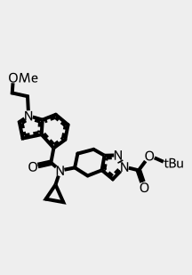 COCCn1ccc2c(C(=O)N(C3CC3)C3CCc4nn(C(=O)OC(C)(C)C)cc4C3)cccc21